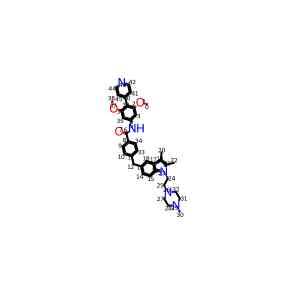 COc1cc(NC(=O)c2ccc(Cc3ccc4c(c3)c(C)c(C)n4CCN3CCN(C)CC3)cc2)cc(OC)c1-c1ccncc1